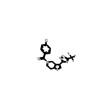 O=C(c1ccc(Cl)cc1)N1CCc2scc(-c3noc(C(F)(F)F)n3)c2C1